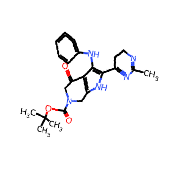 CC1=NCCC(c2[nH]c3c(c2NC2=C=C=CC=C2)C(=O)CN(C(=O)OC(C)(C)C)C3)=N1